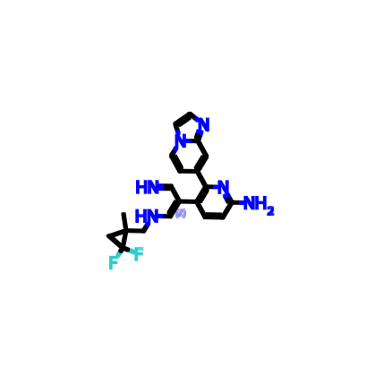 CC1(CN/C=C(\C=N)c2ccc(N)nc2-c2ccn3ccnc3c2)CC1(F)F